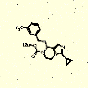 CC(C)(C)OC(=O)N1CCn2c(cnc2C2CC2)C1CCc1cccc(C(F)(F)F)c1